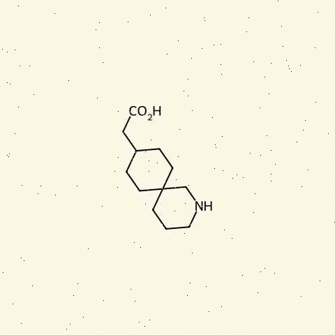 O=C(O)CC1CCC2(CCCNC2)CC1